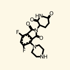 O=C1CCC(N2C(=O)c3c(F)cc(F)c(N4CCNCC4)c3C2=O)C(=O)N1